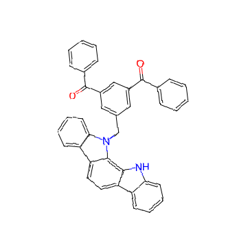 O=C(c1ccccc1)c1cc(Cn2c3ccccc3c3ccc4c5ccccc5[nH]c4c32)cc(C(=O)c2ccccc2)c1